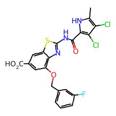 Cc1[nH]c(C(=O)Nc2nc3c(OCc4cccc(F)c4)cc(C(=O)O)cc3s2)c(Cl)c1Cl